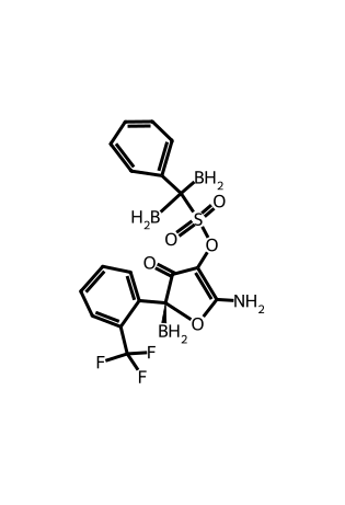 BC(B)(c1ccccc1)S(=O)(=O)OC1=C(N)O[C@](B)(c2ccccc2C(F)(F)F)C1=O